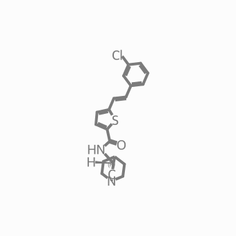 O=C(N[C@H]1CN2CCC1CC2)c1ccc(C=Cc2cccc(Cl)c2)s1